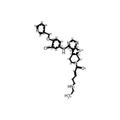 CCNCC/C=C/C(=O)N1CCc2c(sc3ncnc(Nc4ccc(OCc5cccnc5)c(Cl)c4)c23)C1